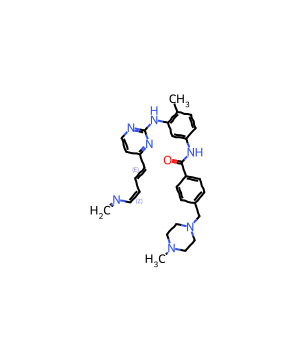 C=N/C=C\C=C\c1ccnc(Nc2cc(NC(=O)c3ccc(CN4CCN(C)CC4)cc3)ccc2C)n1